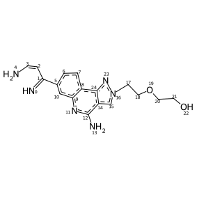 N=C(/C=C\N)c1ccc2c(c1)nc(N)c1cn(CCOCCO)nc12